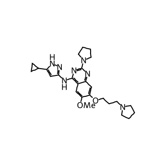 COc1cc2c(Nc3cc(C4CC4)[nH]n3)nc(N3CCCC3)nc2cc1OCCCN1CCCC1